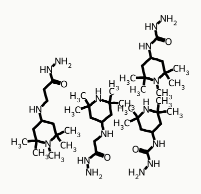 CC1(C)CC(NC(=O)NN)CC(C)(C)N1.CC1(C)CC(NCC(=O)NN)CC(C)(C)N1.CN1C(C)(C)CC(NC(=O)NN)CC1(C)C.CN1C(C)(C)CC(NCCC(=O)NN)CC1(C)C